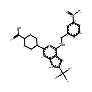 O=C(O)C1CCC(c2nc(NCc3cccc([N+](=O)[O-])c3)c3cc(C(F)(F)F)sc3n2)CC1